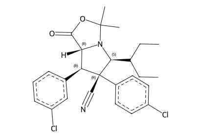 CCC(CC)[C@@H]1N2[C@@H](C(=O)OC2(C)C)[C@H](c2cccc(Cl)c2)[C@@]1(C#N)c1ccc(Cl)cc1